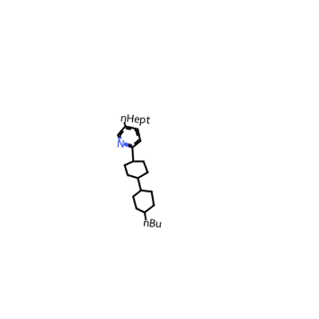 CCCCCCCc1ccc(C2CCC(C3CCC(CCCC)CC3)CC2)nc1